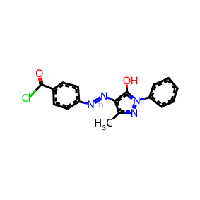 Cc1nn(-c2ccccc2)c(O)c1/N=N/c1ccc(C(=O)Cl)cc1